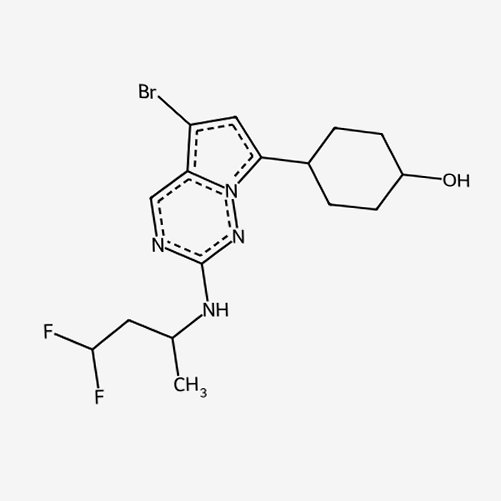 CC(CC(F)F)Nc1ncc2c(Br)cc(C3CCC(O)CC3)n2n1